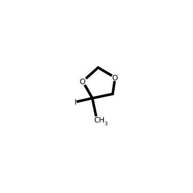 CC1(I)COCO1